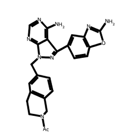 CC(=O)N1CCc2cc(Cn3nc(-c4ccc5oc(N)nc5c4)c4c(N)ncnc43)ccc2C1